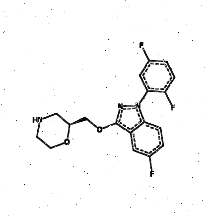 Fc1ccc(F)c(-n2nc(OC[C@@H]3CNCCO3)c3cc(F)ccc32)c1